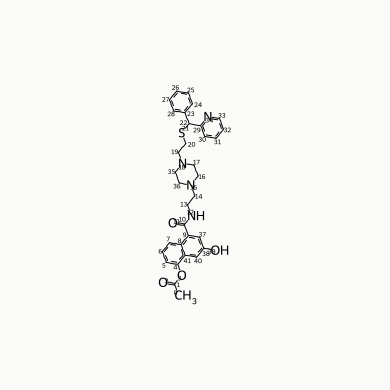 CC(=O)Oc1cccc2c(C(=O)NCCN3CCN(CCSC(c4ccccc4)c4ccccn4)CC3)cc(O)cc12